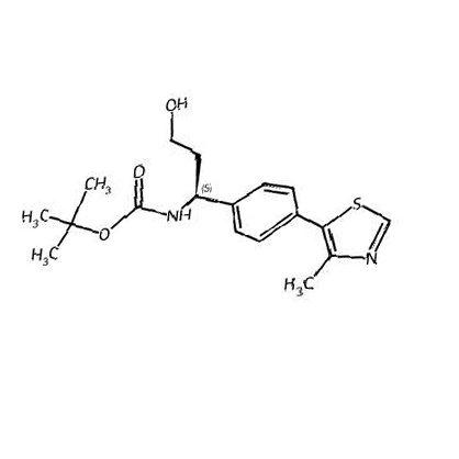 Cc1ncsc1-c1ccc([C@H](CCO)NC(=O)OC(C)(C)C)cc1